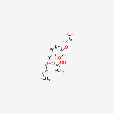 CC(=O)O.CCCCOCCCC.OCCOCCO